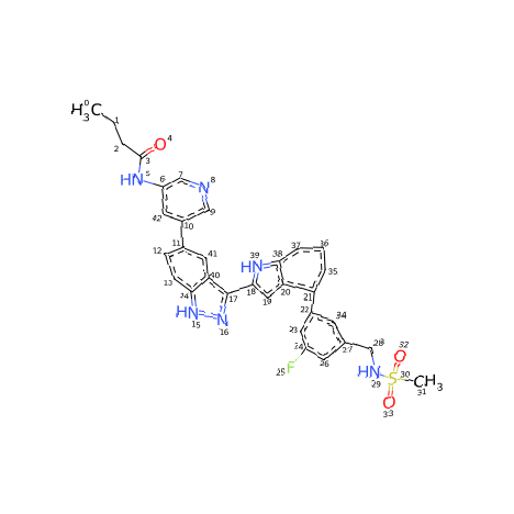 CCCC(=O)Nc1cncc(-c2ccc3[nH]nc(-c4cc5c(-c6cc(F)cc(CNS(C)(=O)=O)c6)cccc5[nH]4)c3c2)c1